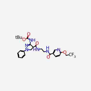 CC(C)(C)OC(=O)NC1=NN(c2ccccc2)CC1C(=O)NCCNC(=O)c1ccc(OCC(F)(F)F)nc1